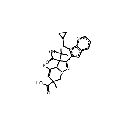 CC1(C(=O)O)C=C(F)C2N(C1)N=C(c1cc3cccnc3n1CC1CC1)C2(C(=O)O)C(C)(C)C